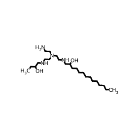 CCCCCCCCCCCCC(O)CNCCN(CCN)CCNCC(O)CC